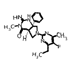 CCc1nc(N2C[C@H]3C(=O)N(C)C(=N)N[C@@]3(c3ccccc3)C2)nc(C)c1F